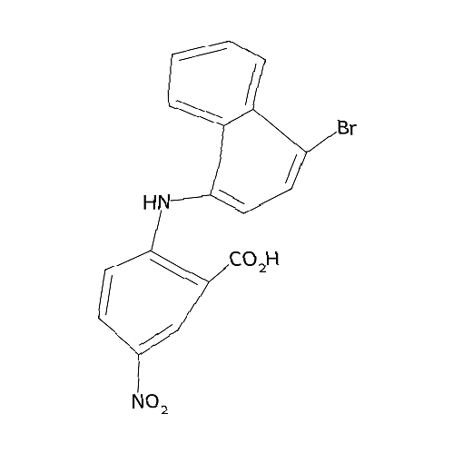 O=C(O)c1cc([N+](=O)[O-])ccc1Nc1ccc(Br)c2ccccc12